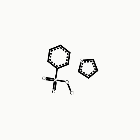 O=S(=O)(OCl)c1ccccc1.c1ccsc1